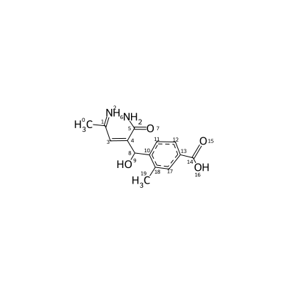 CC(=N)/C=C(\C(N)=O)C(O)c1ccc(C(=O)O)cc1C